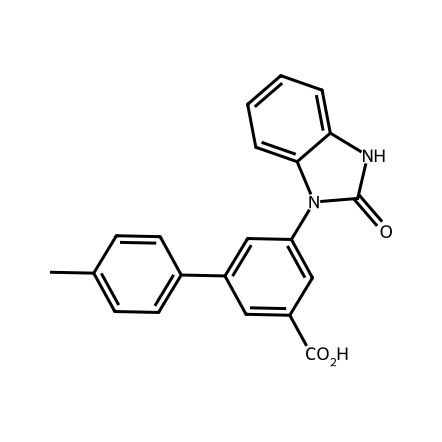 Cc1ccc(-c2cc(C(=O)O)cc(-n3c(=O)[nH]c4ccccc43)c2)cc1